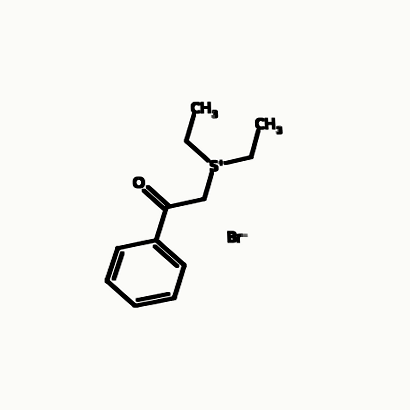 CC[S+](CC)CC(=O)c1ccccc1.[Br-]